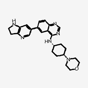 c1nc(N[C@H]2CC[C@H](N3CCOCC3)CC2)c2cc(-c3cnc4c(c3)NCC4)ccc2n1